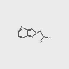 CC[S+]([O-])Cn1cc2ncccc2n1